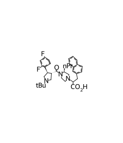 CCC[C@H]1CN([C@@H](Cc2ccc3ccccc3c2)C(=O)O)CCN1C(=O)[C@@H]1CN(C(C)(C)C)C[C@H]1c1ccc(F)cc1F